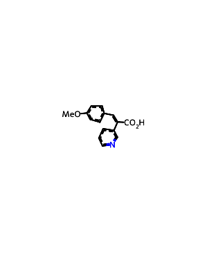 COc1ccc(C=C(C(=O)O)c2cccnc2)cc1